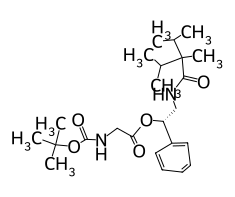 CC(C)C(C)(C(=O)NC[C@@H](OC(=O)CNC(=O)OC(C)(C)C)c1ccccc1)C(C)C